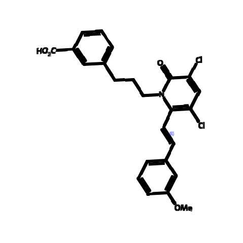 COc1cccc(/C=C/c2c(Cl)cc(Cl)c(=O)n2CCCc2cccc(C(=O)O)c2)c1